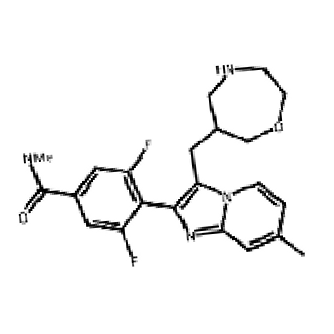 CNC(=O)c1cc(F)c(-c2nc3cc(C)ccn3c2CC2CNCCOC2)c(F)c1